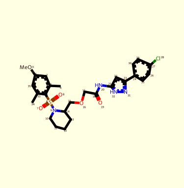 COc1cc(C)c(S(=O)(=O)N2CCCCC2COCC(=O)Nc2cc(-c3ccc(Cl)cc3)n[nH]2)c(C)c1